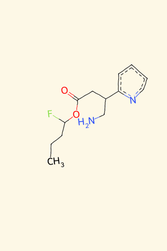 CCCC(F)OC(=O)CC(CN)c1ccccn1